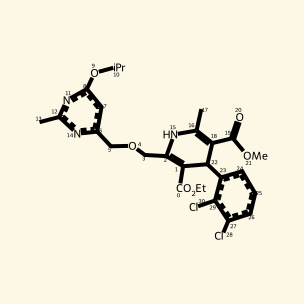 CCOC(=O)C1=C(COCc2cc(OC(C)C)nc(C)n2)NC(C)=C(C(=O)OC)C1c1cccc(Cl)c1Cl